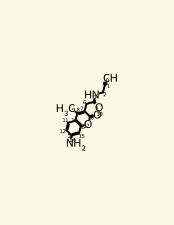 C#CCNC(=O)Cc1c(C)c2ccc(N)cc2oc1=O